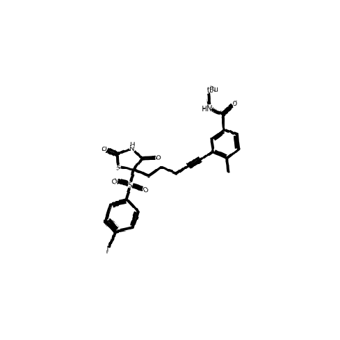 Cc1ccc(C(=O)NC(C)(C)C)cc1C#CCCCC1(S(=O)(=O)c2ccc(I)cc2)SC(=O)NC1=O